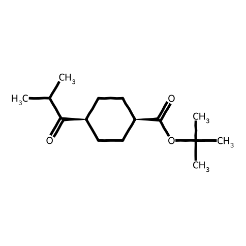 CC(C)C(=O)[C@H]1CC[C@@H](C(=O)OC(C)(C)C)CC1